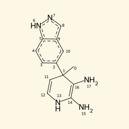 CC1(c2ccc3[nH]ncc3c2)C=CNC(N)=C1N